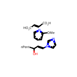 CCCCCC(O)/C=C/n1ccnc1.COc1ccccn1.O=C(O)/C=C/C(=O)O